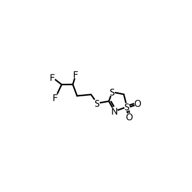 O=S1(=O)CSC(SCCC(F)C(F)F)=N1